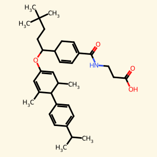 CC1=CC(OC(CCC(C)(C)C)C2C=CC(C(=O)NCCC(=O)O)=CC2)=CC(C)C1c1ccc(C(C)C)cc1